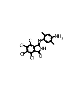 Cc1cc(N=C2NC(=O)c3c(Cl)c(Cl)c(Cl)c(Cl)c32)c(C)cc1N